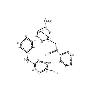 CC(=O)OC1C[N+]2(CC(=O)c3ccccc3)CCC1CC2.Fc1ccc(Nc2ccccc2)cc1